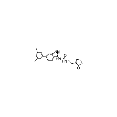 Cc1cc(C)cc(-c2ccc3c(NC(=O)NCCN4CCCC4=O)n[nH]c3c2)c1